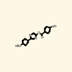 CCCCc1ccc(-c2cnc(OC(=O)c3ccc(CCC)cc3)cn2)cc1